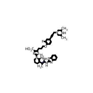 C/C(C1=C(N)N(c2nc(C(=O)O)c(CCCOc3ccc(C#CCN4CC(C)NC(C)C4)cc3F)s2)CCC1)=C(/N)Nc1nc2ccccc2s1